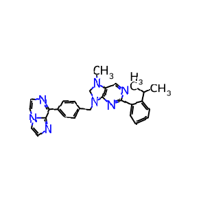 CC(C)c1ccccc1-c1ncc2c(n1)N(Cc1ccc(-c3nccn4ccnc34)cc1)CN2C